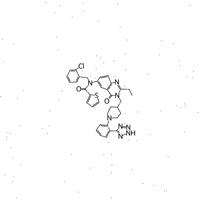 CCc1nc2ccc(N(Cc3ccccc3Cl)C(=O)c3cccs3)cc2c(=O)n1CC1CCN(c2ccccc2-c2nn[nH]n2)CC1